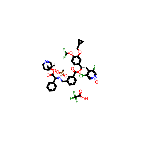 CS(=O)(=O)N(Cc1cccc(C(=O)O[C@@H](Cc2c(Cl)c[n+]([O-])cc2Cl)c2ccc(OC(F)F)c(OCC3CC3)c2)c1)C(C(=O)O[C@H]1CN2CCC1CC2)c1ccccc1.O=C(O)C(F)(F)F